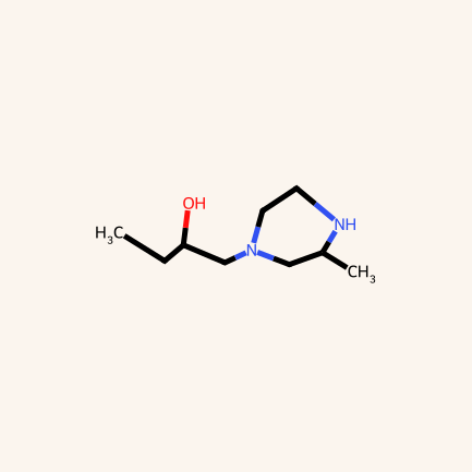 CCC(O)CN1CCNC(C)C1